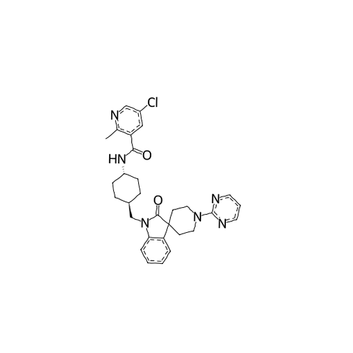 Cc1ncc(Cl)cc1C(=O)N[C@H]1CC[C@H](CN2C(=O)C3(CCN(c4ncccn4)CC3)c3ccccc32)CC1